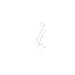 C=Cc1oc2c(Nc3ccc(-c4ccccc4)cc3)cccc2c1/C=C\C